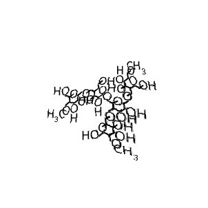 COCC1OC(CO)C(COCC2OC(COC3OC(CO)C(COCC4OC(CO)C(COC)C(O)C4O)C(O)C3O)C(COCC3OC(CO)C(COC)C(O)C3O)C(O)C2O)C(O)C1O